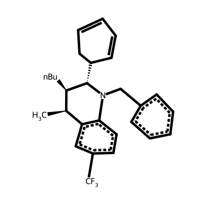 CCCC[C@@H]1[C@H](C)c2cc(C(F)(F)F)ccc2N(Cc2ccccc2)[C@H]1C1C=CC=CC1